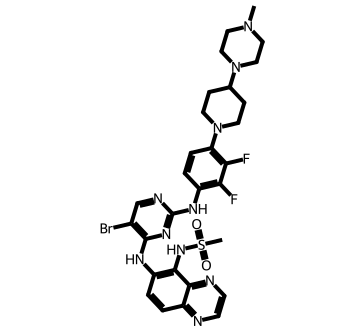 CN1CCN(C2CCN(c3ccc(Nc4ncc(Br)c(Nc5ccc6nccnc6c5NS(C)(=O)=O)n4)c(F)c3F)CC2)CC1